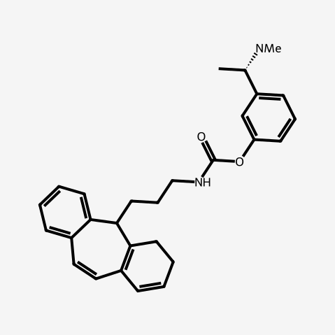 CN[C@@H](C)c1cccc(OC(=O)NCCCC2C3=C(C=CCC3)C=Cc3ccccc32)c1